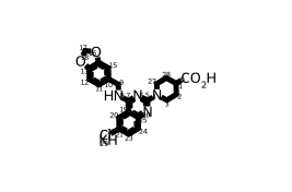 O=C(O)C1CCN(c2nc(NCc3ccc4c(c3)OCO4)c3cc(Cl)ccc3n2)CC1.[KH]